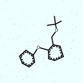 CC(C)(C)OCc1ccccc1Oc1ccccc1